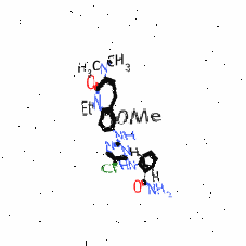 CCN1C(=O)[C@H](N(C)C)CCc2c1ccc(Nc1ncc(Cl)c(N[C@H]3[C@@H](C(N)=O)[C@@H]4C=C[C@H]3C4)n1)c2OC